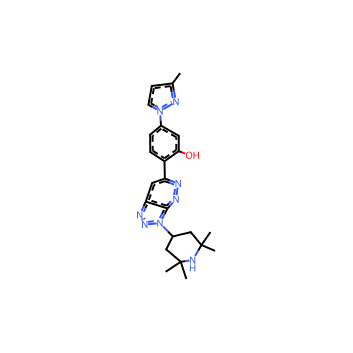 Cc1ccn(-c2ccc(-c3cc4nnn(C5CC(C)(C)NC(C)(C)C5)c4nn3)c(O)c2)n1